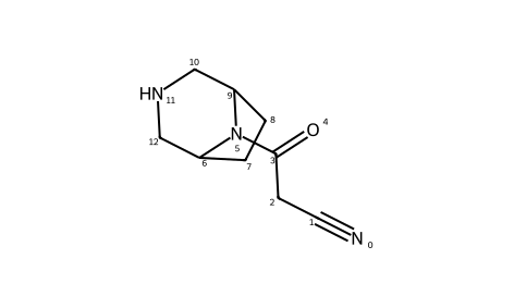 N#CCC(=O)N1C2CCC1CNC2